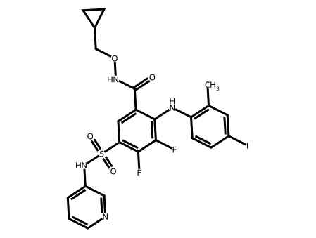 Cc1cc(I)ccc1Nc1c(C(=O)NOCC2CC2)cc(S(=O)(=O)Nc2cccnc2)c(F)c1F